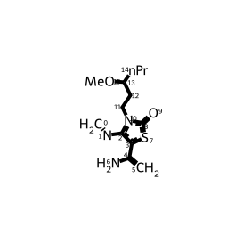 C=Nc1c(C(=C)N)sc(=O)n1CCC(CCC)OC